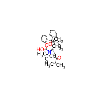 CC(C)C(=O)CC[C@@H](CO[Si](c1ccccc1)(c1ccccc1)C(C)(C)C)N(C(=O)O)C(C)(C)C